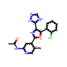 CC(=O)Nc1cc(-c2nc(-c3nnc[nH]3)c(-c3ccccc3Cl)o2)c(C)cn1